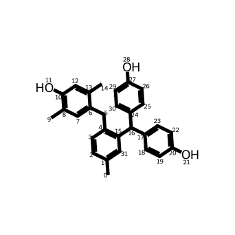 Cc1ccc(Cc2cc(C)c(O)cc2C)c(C(c2ccc(O)cc2)c2ccc(O)cc2)c1